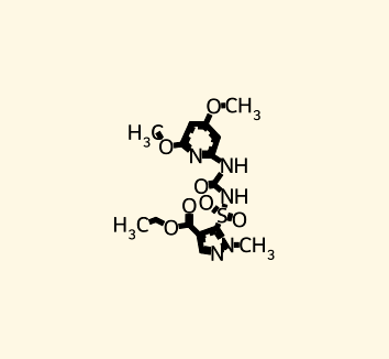 CCOC(=O)c1cnn(C)c1S(=O)(=O)NC(=O)Nc1cc(OC)cc(OC)n1